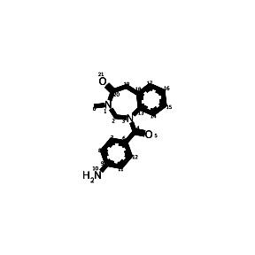 CN1CN(C(=O)c2ccc(N)cc2)c2ccccc2CC1=O